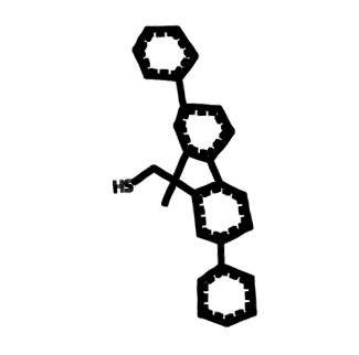 CC1(CS)c2cc(-c3ccccc3)ccc2-c2ccc(-c3ccccc3)cc21